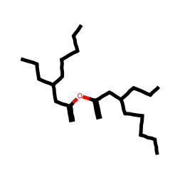 C=C(CC(CCC)CCCCC)OC(=C)CC(CCC)CCCCC